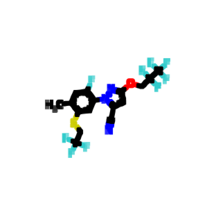 Cc1cc(F)c(-n2nc(OCC(F)(F)C(F)(F)F)cc2C#N)cc1SCC(F)(F)F